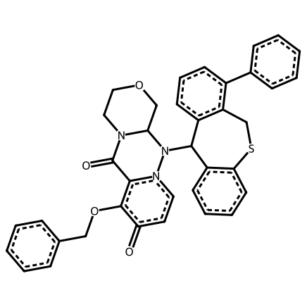 O=C1c2c(OCc3ccccc3)c(=O)ccn2N(C2c3ccccc3SCc3c(-c4ccccc4)cccc32)C2COCCN12